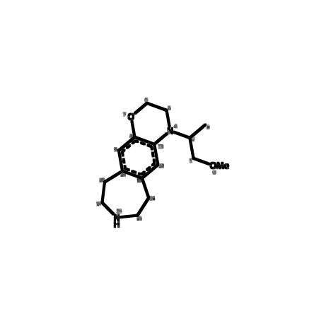 COCC(C)N1CCOc2cc3c(cc21)CCNCC3